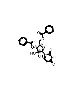 C[C@@]1(O)C(n2ccc(=O)[nH]c2=O)O[C@H](COC(=O)c2ccccc2)[C@H]1OC(=O)c1ccccc1